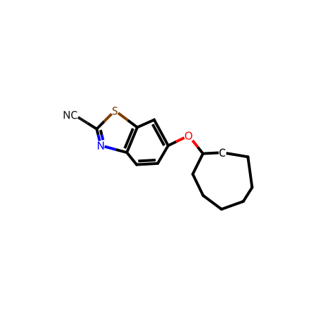 N#Cc1nc2ccc(OC3CCCCCCC3)cc2s1